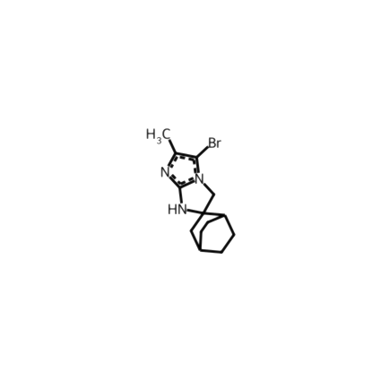 Cc1nc2n(c1Br)CC1(CC3CCC1CC3)N2